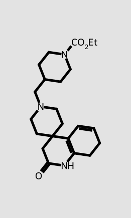 CCOC(=O)N1CCC(CN2CCC3(CC2)CC(=O)NC2=C3C=CCC2)CC1